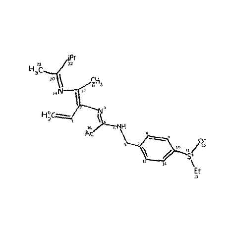 C=CC(/N=C(/NCc1ccc([S+]([O-])CC)cc1)C(C)=O)=C(C)\N=C(\C)C(C)C